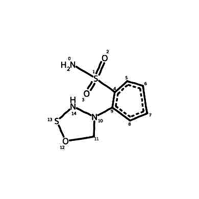 NS(=O)(=O)c1ccccc1N1COSN1